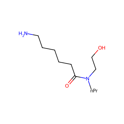 CCCN(CCO)C(=O)CCCCCN